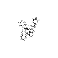 Oc1ccc2ccccc2c1-c1cccc2nc(/C=C/c3ccccc3)c(NCc3ccccc3)n12